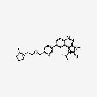 CC(C)n1c(=O)n(C)c2nnc3ccc(-c4ccc(COCCN5CCC[C@H]5C)nc4)cc3c21